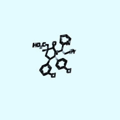 CC(C)C[C@@H](c1ccccn1)N1C(=O)[C@@](C)(CC(=O)O)C[C@H](c2cccc(Cl)c2)[C@H]1c1ccc(Cl)cc1